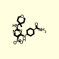 CC1(Nc2ncc([N+](=O)[O-])c(N[C@H]3CC[C@H](C(N)=O)CC3)n2)CCOCC1